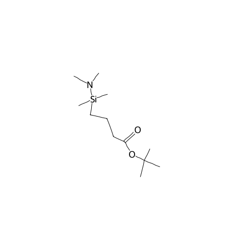 CN(C)[Si](C)(C)CCCC(=O)OC(C)(C)C